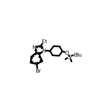 CCc1nc2ccc(Br)cc2n1C1CCC(O[Si](C)(C)C(C)(C)C)CC1